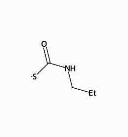 CCCNC(=O)[S]